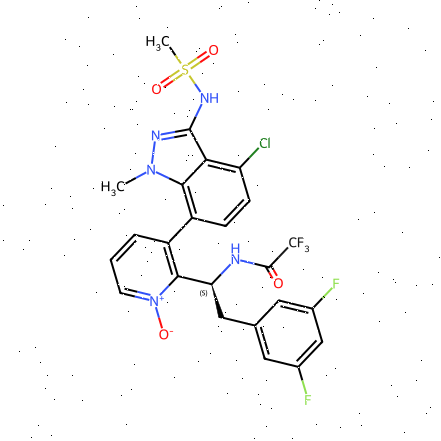 Cn1nc(NS(C)(=O)=O)c2c(Cl)ccc(-c3ccc[n+]([O-])c3[C@H](Cc3cc(F)cc(F)c3)NC(=O)C(F)(F)F)c21